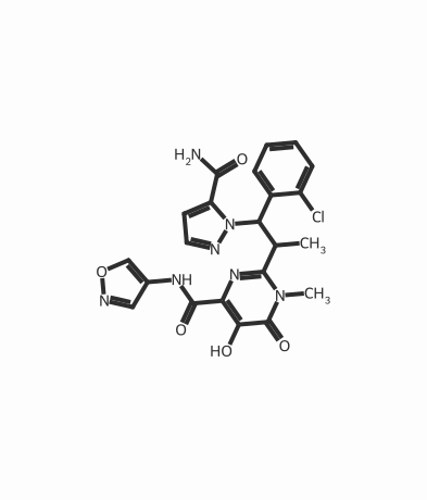 CC(c1nc(C(=O)Nc2cnoc2)c(O)c(=O)n1C)C(c1ccccc1Cl)n1nccc1C(N)=O